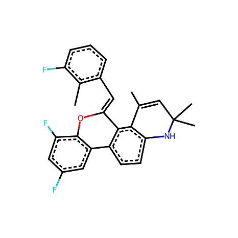 CC1=CC(C)(C)Nc2ccc3c(c21)C(=Cc1cccc(F)c1C)Oc1c(F)cc(F)cc1-3